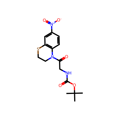 CC(C)(C)OC(=O)NCC(=O)N1CCSc2cc([N+](=O)[O-])ccc21